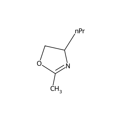 CCCC1COC(C)=N1